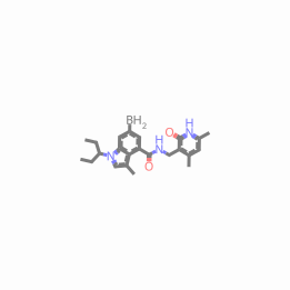 Bc1cc(C(=O)NCc2c(C)cc(C)[nH]c2=O)c2c(C)cn(C(CC)CC)c2c1